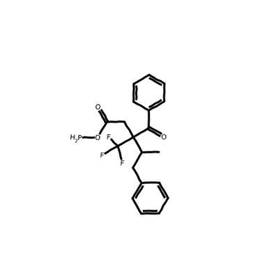 CC(Cc1ccccc1)C(CC(=O)OP)(C(=O)c1ccccc1)C(F)(F)F